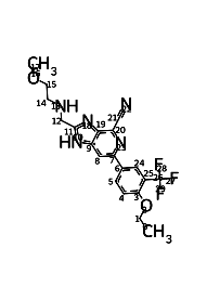 CCOc1ccc(-c2cc3[nH]c(CNCCOC)nc3c(C#N)n2)cc1C(F)(F)F